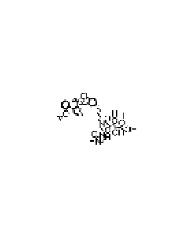 O=C1NCCN1CCN(CCCSc1ccc(Cl)c(COC2(c3cnccc3-c3ccccc3OC3CC3)CC2)c1)C(=O)[C@@H](O)[C@@H](O)[C@H](O)[C@@H](O)CO